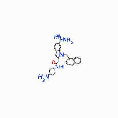 N=C(N)c1ccc2cc(CC(=O)N[C@H]3CC[C@H](N)CC3)n(Cc3cccc4ccccc34)c2c1